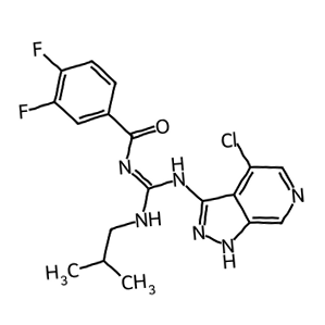 CC(C)CN/C(=N/C(=O)c1ccc(F)c(F)c1)Nc1n[nH]c2cncc(Cl)c12